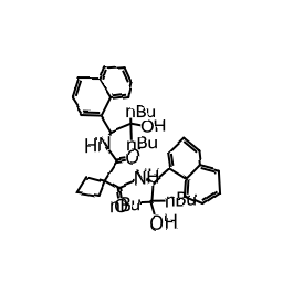 CCCCC(O)(CCCC)[C@@H](NC(=O)C1(C(=O)N[C@@H](c2cccc3ccccc23)C(O)(CCCC)CCCC)CCC1)c1cccc2ccccc12